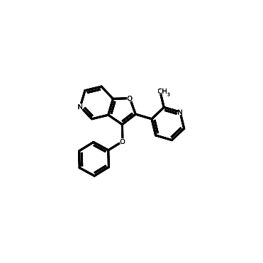 Cc1ncccc1-c1oc2ccncc2c1Oc1ccccc1